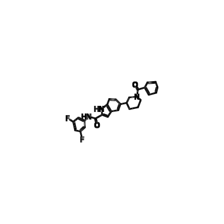 O=C(Nc1cc(F)cc(F)c1)c1cc2cc(C3CCCN(C(=O)c4ccccc4)C3)ccc2[nH]1